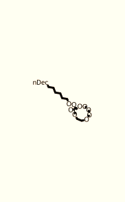 CCCCCCCCCCCCCCCCOOP1(=O)OCCOOOOO1